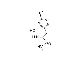 CNC(=O)[C@@H](N)Cc1ccc(OC)cc1.Cl